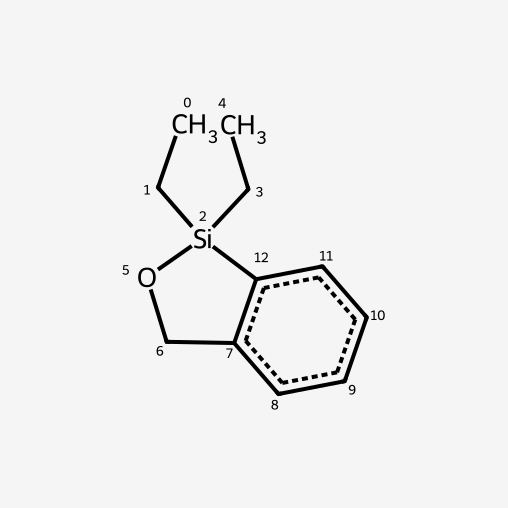 CC[Si]1(CC)OCc2ccccc21